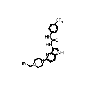 CC(C)CN1CCN(c2ccc3[nH]cc(NC(=O)Nc4ccc(C(F)(F)F)cc4)c3n2)CC1